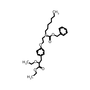 CCCCCCCN(CCOc1ccc(CC(OCC)C(=O)OCC)cc1)C(=O)OCc1ccccc1